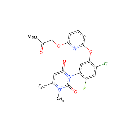 COC(=O)COc1cccc(Oc2cc(-n3c(=O)cc(C(F)(F)F)n(C)c3=O)c(F)cc2Cl)n1